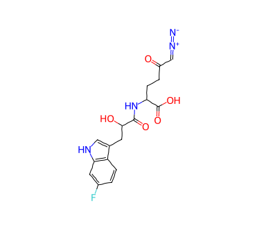 [N-]=[N+]=CC(=O)CCC(NC(=O)C(O)Cc1c[nH]c2cc(F)ccc12)C(=O)O